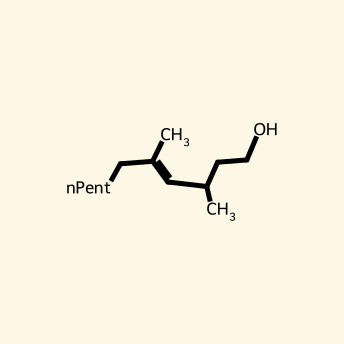 CCCCCCC(C)=CC(C)CCO